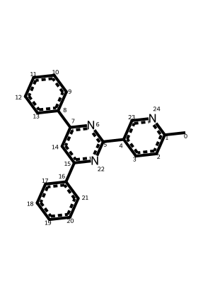 Cc1ccc(-c2nc(-c3ccccc3)cc(-c3ccccc3)n2)cn1